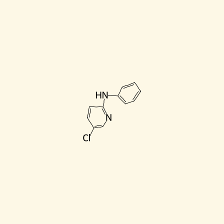 Clc1ccc(Nc2ccccc2)nc1